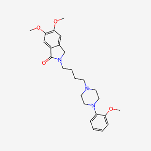 COc1cc2c(cc1OC)C(=O)N(CCCCN1CCN(c3ccccc3OC)CC1)C2